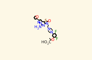 CC(Oc1cc(N2CCN(CCn3c(=O)sc4c3nc(N)n3nc(-c5ccco5)cc43)CC2)c(F)cc1F)C(=O)O